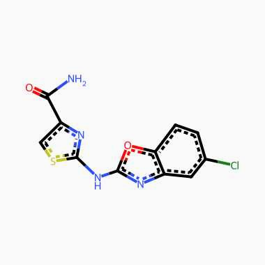 NC(=O)c1csc(Nc2nc3cc(Cl)ccc3o2)n1